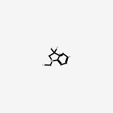 CC1(I)CN(CI)c2ccccc21